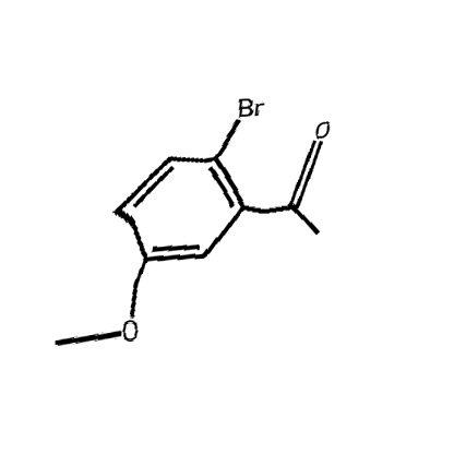 COc1ccc(Br)c(C(C)=O)c1